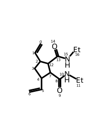 C=CC1CC(C=C)C(C(=O)NCC)C1C(=O)NCC